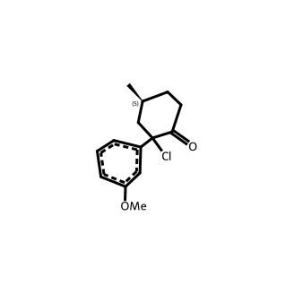 COc1cccc(C2(Cl)C[C@@H](C)CCC2=O)c1